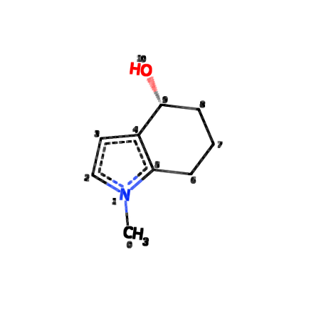 Cn1ccc2c1CCC[C@H]2O